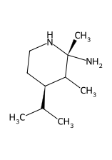 CC(C)[C@H]1CCN[C@](C)(N)C1C